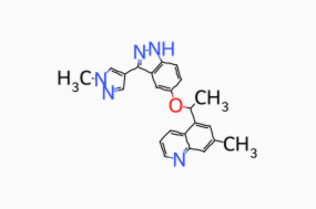 Cc1cc(C(C)Oc2ccc3[nH]nc(-c4cnn(C)c4)c3c2)c2cccnc2c1